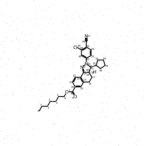 CCCCCCCOC(=O)c1ccc2c(c1)CC[C@H]1C2=NN(c2ccc(C#N)c(Cl)c2)[C@H]1C1CCCC1